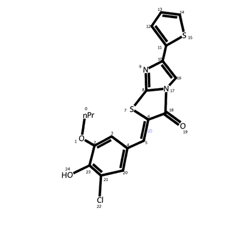 CCCOc1cc(/C=c2\sc3nc(-c4cccs4)cn3c2=O)cc(Cl)c1O